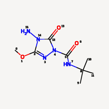 COc1nn(C(=O)NC(C)(C)C)c(=O)n1N